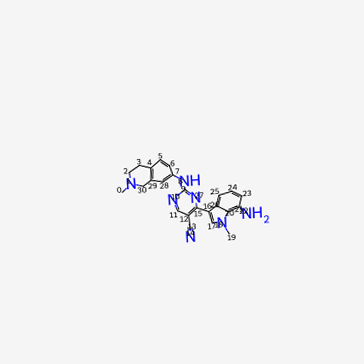 CN1CCc2ccc(Nc3ncc(C#N)c(-c4cn(C)c5c(N)cccc45)n3)cc2C1